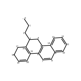 [CH2]CCC1Cc2c(ccc3ccccc23)C2=C1CCC=C2